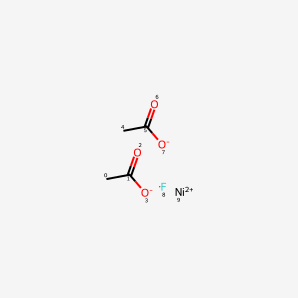 CC(=O)[O-].CC(=O)[O-].[F].[Ni+2]